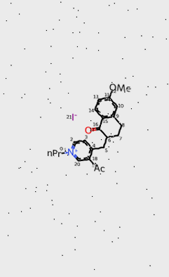 CCC[n+]1ccc(CC2CCc3cc(OC)ccc3C2=O)c(C(C)=O)c1.[I-]